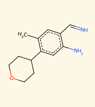 Cc1cc(C=N)c(N)cc1C1CCOCC1